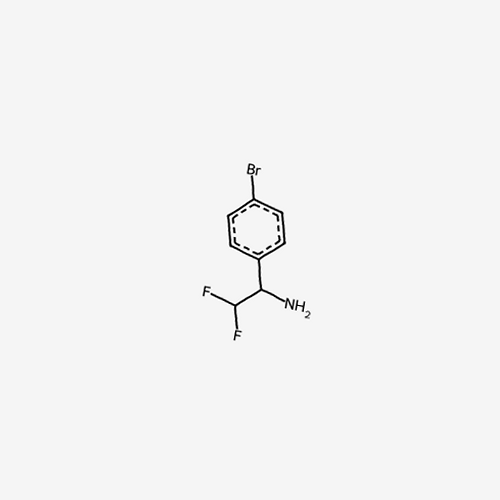 NC(c1ccc(Br)cc1)C(F)F